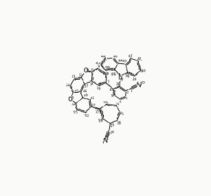 N#Cc1cccc(-c2ccc3oc4ccc5c(c4c3c2)C2C=C(C3=CC(C#N)C=CC=C3)C=CC2O5)c1-n1c2ccccc2c2ccccc21